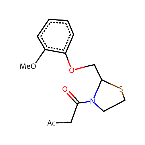 COc1ccccc1OCC1SCCN1C(=O)CC(C)=O